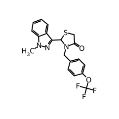 Cn1nc(C2SCC(=O)N2Cc2ccc(OC(F)(F)F)cc2)c2ccccc21